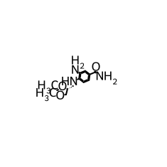 CC1(C)OC[C@@H](CNc2ccc(C(N)=O)cc2N)O1